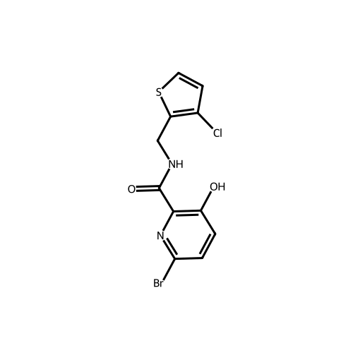 O=C(NCc1sccc1Cl)c1nc(Br)ccc1O